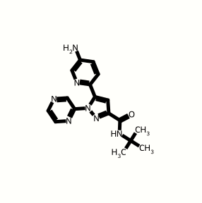 CC(C)(C)NC(=O)c1cc(-c2ccc(N)cn2)n(-c2cnccn2)n1